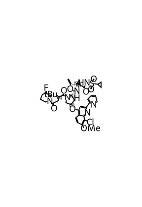 C=C[C@@H]1C[C@]1(NC(=O)[C@@H]1C[C@@H](Oc2cc(-c3ccccn3)nc3c(Cl)c(OC)ccc23)CN1C(=O)[C@@H](CC(=O)N1CCCC(F)C1)C(C)(C)C)C(=O)NS(=O)(=O)C1CC1